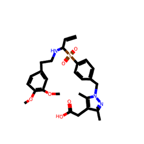 C=CC(NCCc1ccc(OC)c(OC)c1)S(=O)(=O)c1ccc(Cn2nc(C)c(CC(=O)O)c2C)cc1